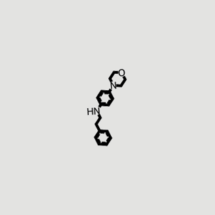 c1ccc(CCNc2ccc(N3CCOCC3)cc2)cc1